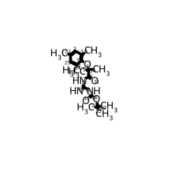 Cc1cc(C)c(OC(C)(C)C(=O)NC(=N)NC(=O)OC(C)(C)C)c(C)c1